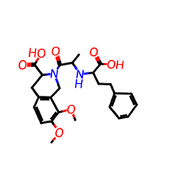 COc1ccc2c(c1OC)CN(C(=O)C(C)NC(CCc1ccccc1)C(=O)O)C(C(=O)O)C2